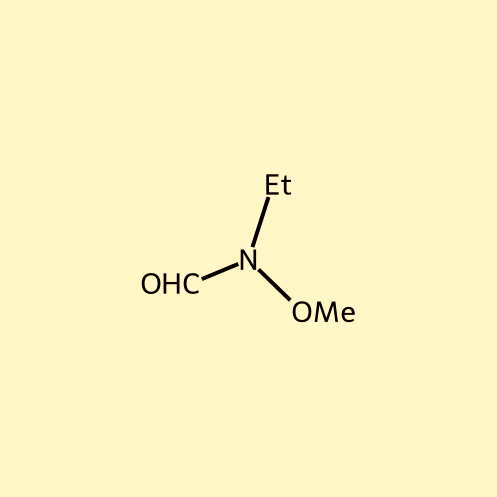 CCN(C=O)OC